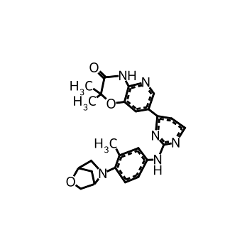 Cc1cc(Nc2nccc(-c3cnc4c(c3)OC(C)(C)C(=O)N4)n2)ccc1N1CC2CC1CO2